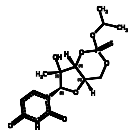 CC(C)OP1(=S)OC[C@H]2O[C@@H](n3ccc(=O)[nH]c3=O)[C@](C)(O)[C@@H]2O1